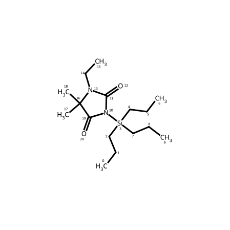 CCC[Si](CCC)(CCC)N1C(=O)N(CC)C(C)(C)C1=O